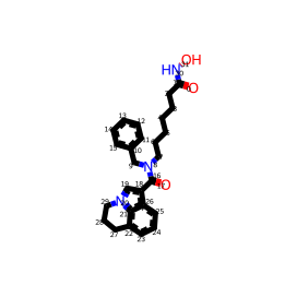 O=C(CCCCCCN(Cc1ccccc1)C(=O)c1cn2c3c(cccc13)CCC2)NO